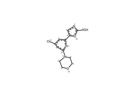 Oc1ncc(-c2cc(Cl)cc(N3CCOCC3)n2)o1